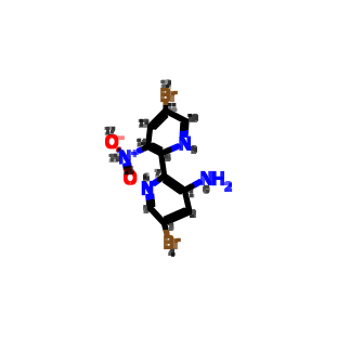 Nc1cc(Br)cnc1-c1ncc(Br)cc1[N+](=O)[O-]